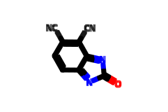 N#Cc1ccc2c(c1C#N)=NC(=O)N=2